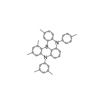 Cc1ccc(N2c3ccc(C)cc3B3c4c(C)cc(C)cc4N(c4cc(C)cc(C)c4)c4cccc2c43)cc1